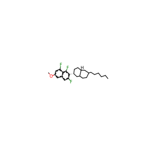 CCCCCCC1CCC2C[C@H](c3c(F)cc4cc(OC)cc(F)c4c3F)CC[C@@H]2C1